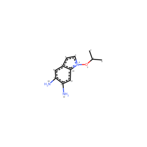 CC(C)On1ccc2cc(N)c(N)cc21